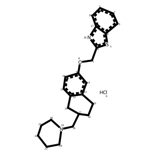 Cl.c1ccc2sc(COc3ccc4c(c3)CCC(CN3CCCCC3)C4)nc2c1